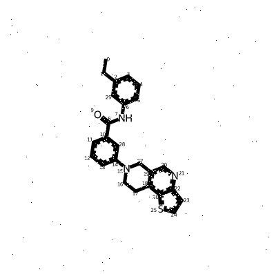 CCc1cccc(NC(=O)c2cccc(N3CCc4c(cnc5ccsc45)C3)c2)c1